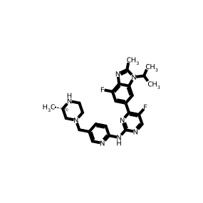 Cc1nc2c(F)cc(-c3nc(Nc4ccc(CN5CCN[C@@H](C)C5)cn4)ncc3F)cc2n1C(C)C